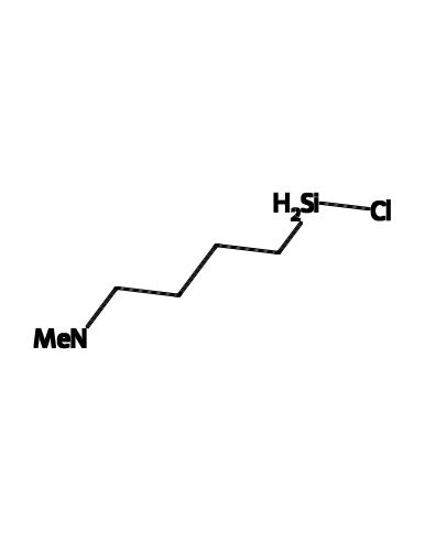 CNCCCC[SiH2]Cl